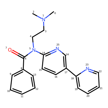 CN(C)CCN(C(=O)c1ccccc1)c1ccc(-c2ccccn2)cn1